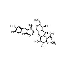 COC1C(C(=O)O)OC(OC2C(O)C(O)[C@H](OC)O[C@H]2C(=O)N(C)C(Cc2ccc(O)c(O)c2)C(=O)O)C(O)C1O